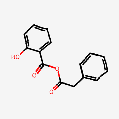 O=C(Cc1ccccc1)OC(=O)c1ccccc1O